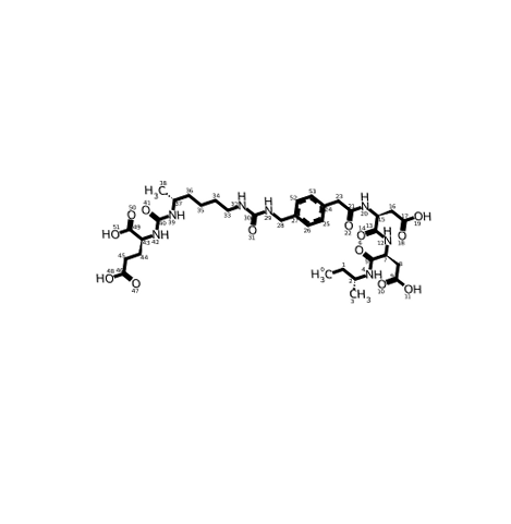 CC[C@@H](C)NC(=O)[C@H](CC(=O)O)NC(=O)[C@H](CC(=O)O)NC(=O)Cc1ccc(CNC(=O)NCCCC[C@@H](C)NC(=O)N[C@@H](CCC(=O)O)C(=O)O)cc1